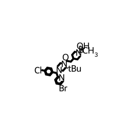 CB(O)N1CCC(CC(=O)N2CCN(C(c3ccc(Cl)cc3)c3ccc(Br)cn3)C[C@@H]2C(C)(C)C)CC1